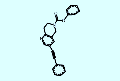 O=C(Oc1ccccc1)N1CCc2ncc(C#Cc3ccccc3)cc2C1